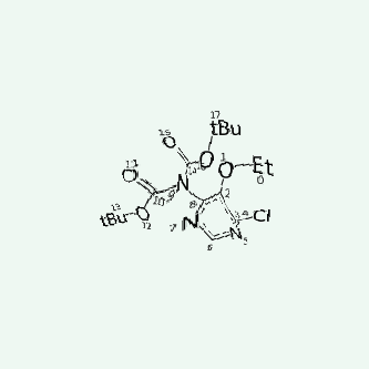 CCOc1c(Cl)ncnc1N(C(=O)OC(C)(C)C)C(=O)OC(C)(C)C